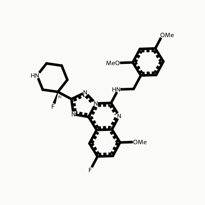 COc1ccc(CNc2nc3c(OC)cc(F)cc3c3nc([C@@]4(F)CCCNC4)nn23)c(OC)c1